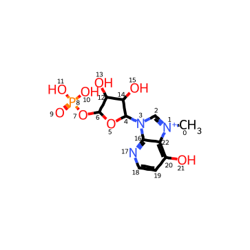 C[n+]1cn(C2OC(OP(=O)(O)O)C(O)C2O)c2nccc(O)c21